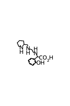 O=C(O)C(NCCNCC1CCCCN1)c1ccccc1O